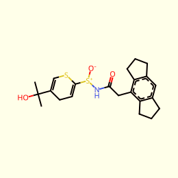 CC(C)(O)C1=CSC([S+]([O-])NC(=O)Cc2c3c(cc4c2CCC4)CCC3)=CC1